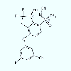 C[S@](=O)(=NC#N)c1ccc(Oc2cc(F)cc(C#N)c2)c2c1[C@H](O)C(F)(F)C2